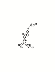 Cc1c(-c2ccc(OCCNC[C@@H](O)CC(=O)O)cc2)cccc1-c1cccc2c1CC[C@@H]2Oc1nc(OCc2cncc(C#N)c2)c(CNC[C@@H](O)CC(=O)O)cc1Br